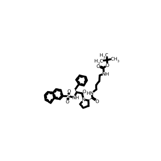 CC(C)(C)OC(=O)NCCCCNC(=O)[C@@H]1CCCN1C(=O)[C@@H](Cc1ccccc1)NS(=O)(=O)c1ccc2ccccc2c1